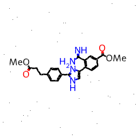 COC(=O)CCc1ccc(-c2nc(-c3ccc(C(=O)OC)cc3C(=N)N)c[nH]2)cc1